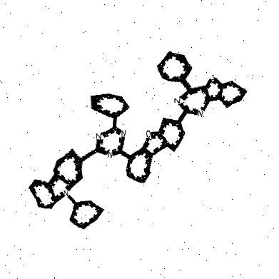 c1ccc(-c2nc(-c3ccc4c5ccccc5n(-c5ccccc5)c4c3)nc(-c3cccc4c3oc3cc(-c5nc(-c6ccccc6)c6sc7ccccc7c6n5)ccc34)n2)cc1